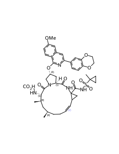 COc1ccc2c(O[C@@H]3C[C@H]4C(=O)NC5(C(=O)NS(=O)(=O)C6(C)CC6)CC5/C=C\CC[C@@H](C)C[C@@H](C)[C@H](NC(=O)O)C(=O)N4C3)nc(-c3ccc4c(c3)OCCO4)cc2c1